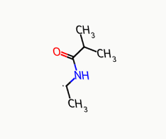 C[CH]NC(=O)C(C)C